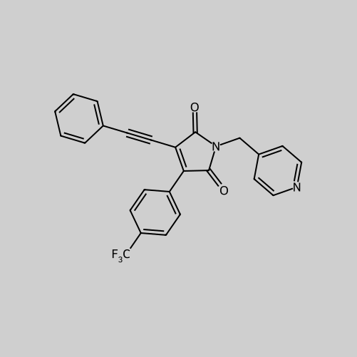 O=C1C(C#Cc2ccccc2)=C(c2ccc(C(F)(F)F)cc2)C(=O)N1Cc1ccncc1